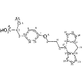 CCOC(Cc1ccc(OCCCN2c3sccc3Cc3ccsc32)cc1)C(=O)O